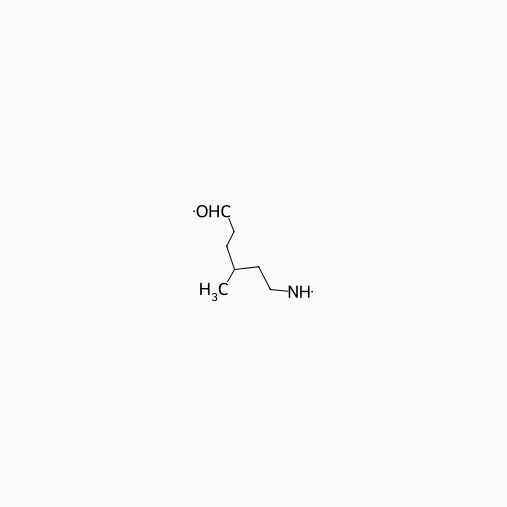 CC(CC[NH])CC[C]=O